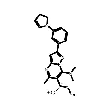 Cc1nc2cc(-c3cccc(N4C=CCC4)c3)nn2c(N(C)C)c1[C@H](OC(C)(C)C)C(=O)O